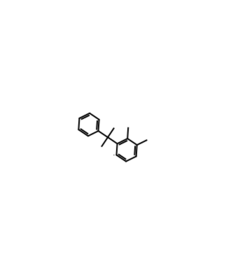 Cc1cc[c]c(C(C)(C)c2ccccc2)c1C